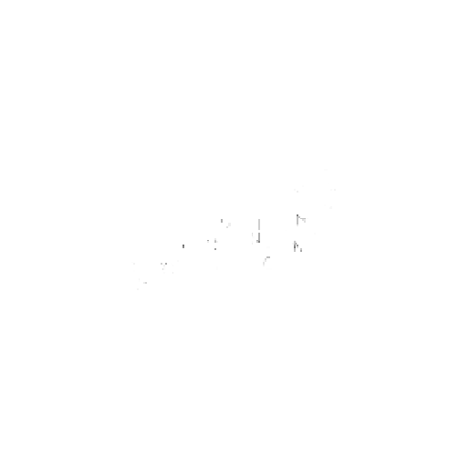 O=C(NCC(=O)N1CCC(Oc2ccccc2Cl)CC1)c1cn(-c2ccccc2)cn1